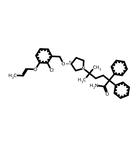 CC=COc1cccc(CO[C@@H]2CCN(C(C)(C)CCC(C(N)=O)(c3ccccc3)c3ccccc3)C2)c1Cl